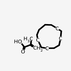 C1CCCCCCCCCCC1.C=C(C)C(=O)O